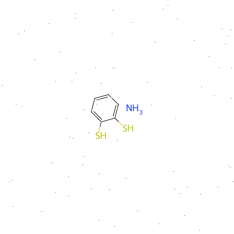 N.Sc1ccccc1S